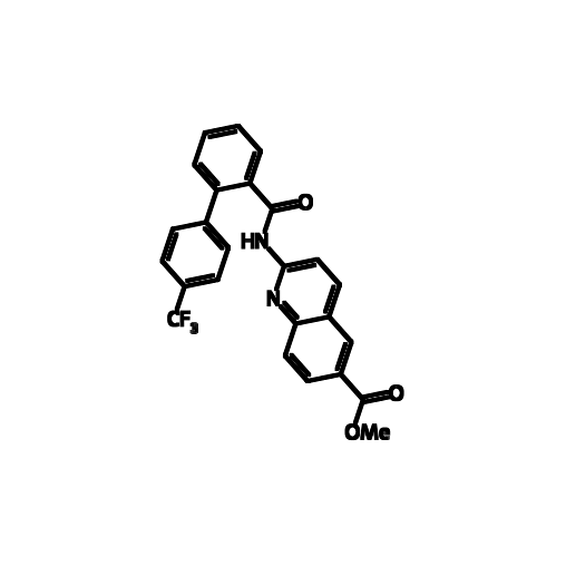 COC(=O)c1ccc2nc(NC(=O)c3ccccc3-c3ccc(C(F)(F)F)cc3)ccc2c1